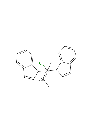 C[Si](C)=[Zr]([CH3])([Cl])([CH]1C=Cc2ccccc21)[CH]1C=Cc2ccccc21